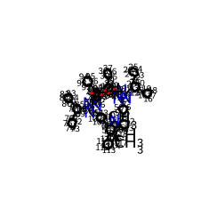 Cn1c2c(-c3ccc(-c4nc(-c5cc(-c6ccccc6)cc(-c6ccccc6)c5)nc(-c5cc(-c6ccccc6)cc(-c6ccccc6)c5)n4)cc3)cccc2c2c3c(cc(-c4ccc(-c5nc(-c6cc(-c7ccccc7)cc(-c7ccccc7)c6)nc(-c6cc(-c7ccccc7)cc(-c7ccccc7)c6)n5)cc4)c21)-c1ccccc1C3(C)C